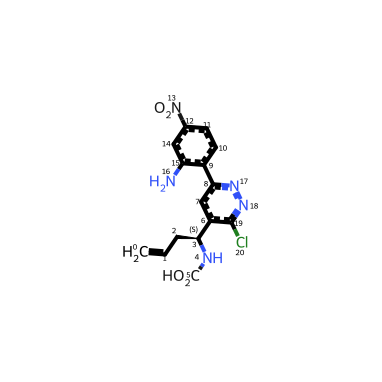 C=CC[C@H](NC(=O)O)c1cc(-c2ccc([N+](=O)[O-])cc2N)nnc1Cl